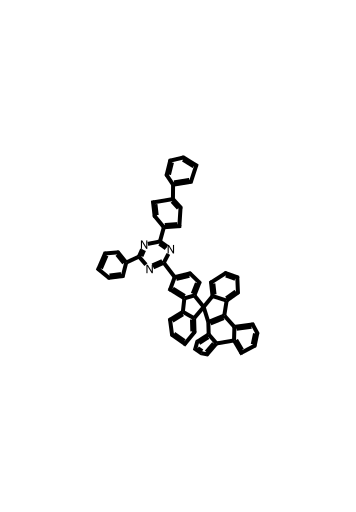 c1ccc(-c2ccc(-c3nc(-c4ccccc4)nc(-c4ccc5c(c4)-c4ccccc4C54c5ccccc5-c5c4c4ccccc4c4ccccc54)n3)cc2)cc1